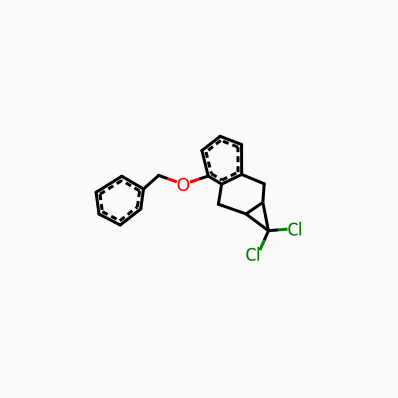 ClC1(Cl)C2Cc3cccc(OCc4ccccc4)c3CC21